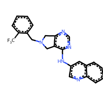 FC(F)(F)c1ccccc1CN1Cc2ncnc(Nc3cnc4ccccc4c3)c2C1